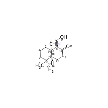 CC1(C)CCC[C@@]2(C)/C(=C/O)C(=O)CC[C@H]12